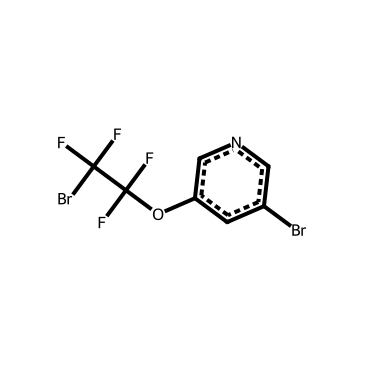 FC(F)(Br)C(F)(F)Oc1cncc(Br)c1